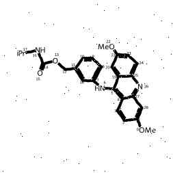 COc1ccc2c(Nc3cccc(COC(=O)NC(C)C)c3)c3cc(OC)ccc3nc2c1